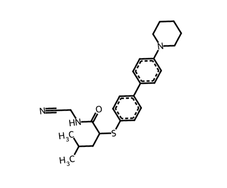 CC(C)CC(Sc1ccc(-c2ccc(N3CCCCC3)cc2)cc1)C(=O)NCC#N